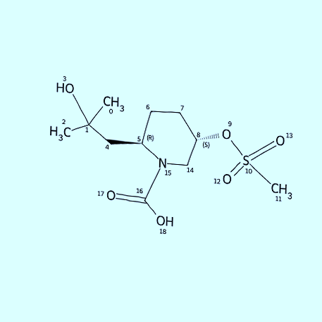 CC(C)(O)C[C@H]1CC[C@H](OS(C)(=O)=O)CN1C(=O)O